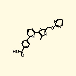 Cc1nc(COc2ncccn2)sc1-c1cccc(-c2ccc(C(=O)O)cc2)n1